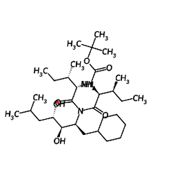 CC[C@H](C)[C@H](N)C(=O)N(C(=O)[C@@H](NC(=O)OC(C)(C)C)[C@@H](C)CC)[C@@H](CC1CCCCC1)[C@@H](O)[C@@H](O)CC(C)C